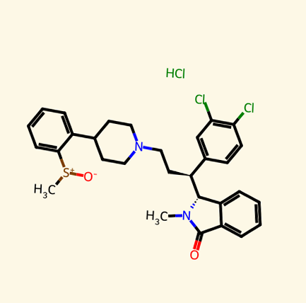 CN1C(=O)c2ccccc2[C@H]1[C@@H](CCN1CCC(c2ccccc2[S+](C)[O-])CC1)c1ccc(Cl)c(Cl)c1.Cl